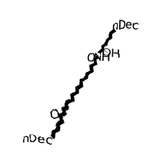 CCCCCCCCCCCCCCCC[C@H](O)CNC(=O)CCCCCCCCCCCCCCCC(=O)CCCCCCCCCCCCCCC